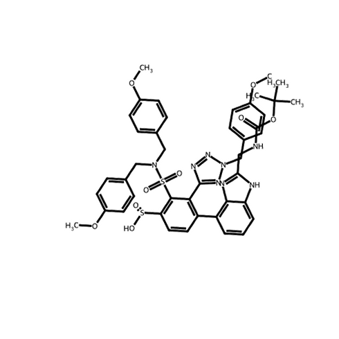 COc1ccc(CN(Cc2ccc(OC)cc2)S(=O)(=O)c2c(S(=O)O)ccc(-c3cccc4[nH]c(CNC(=O)OC(C)(C)C)nc34)c2-c2nnn(Cc3ccc(OC)cc3)n2)cc1